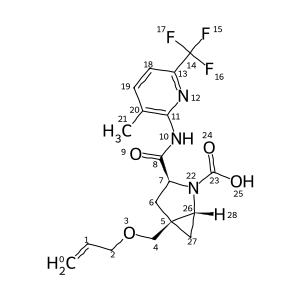 C=CCOC[C@@]12C[C@@H](C(=O)Nc3nc(C(F)(F)F)ccc3C)N(C(=O)O)[C@@H]1C2